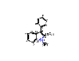 CC(C)n1c(C(C)(C)C)c(-c2ccccc2)c2ccccc21